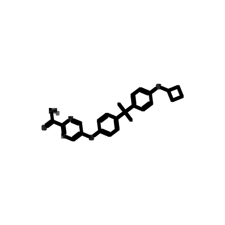 CC(C)(c1ccc(Oc2cnc(C(N)=O)nc2)cc1)c1ccc(OC2CCC2)cc1